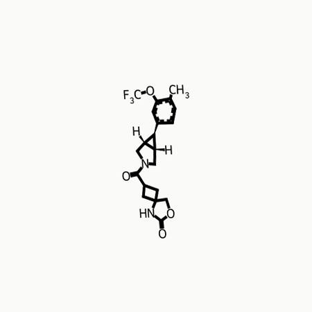 Cc1ccc([C@H]2[C@@H]3CN(C(=O)C4CC5(COC(=O)N5)C4)C[C@@H]32)cc1OC(F)(F)F